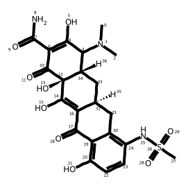 CN(C)C1C(O)=C(C(N)=O)C(=O)[C@@]2(O)C(O)=C3C(=O)c4c(O)ccc(NS(C)(=O)=O)c4C[C@@H]3C[C@@H]12